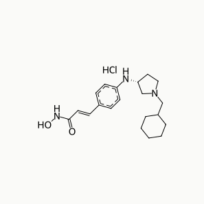 Cl.O=C(/C=C/c1ccc(N[C@@H]2CCN(CC3CCCCC3)C2)cc1)NO